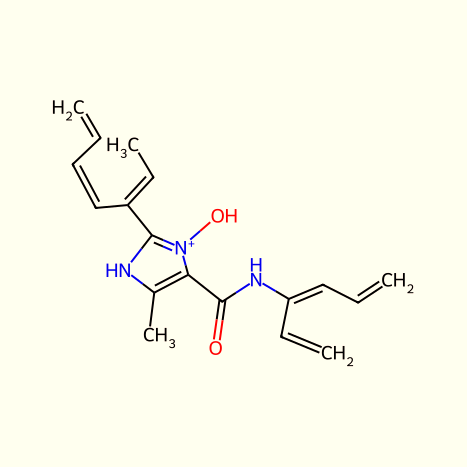 C=C/C=C\C(=C/C)c1[nH]c(C)c(C(=O)N/C(C=C)=C/C=C)[n+]1O